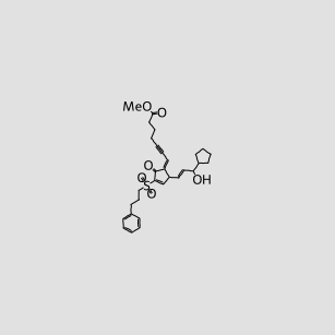 COC(=O)CCCC#C/C=C1\C(=O)C(S(=O)(=O)CCCc2ccccc2)=CC1/C=C/C(O)C1CCCC1